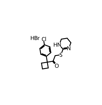 Br.O=C(CSC1=NCCCN1)C1(c2ccc(Cl)cc2)CCC1